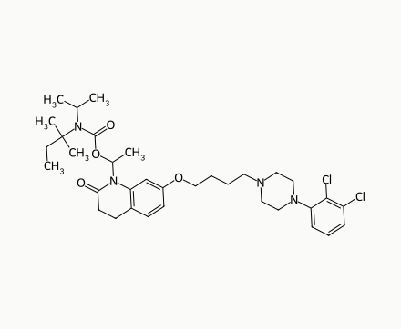 CCC(C)(C)N(C(=O)OC(C)N1C(=O)CCc2ccc(OCCCCN3CCN(c4cccc(Cl)c4Cl)CC3)cc21)C(C)C